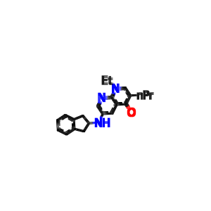 CCCc1cn(CC)c2ncc(NC3Cc4ccccc4C3)cc2c1=O